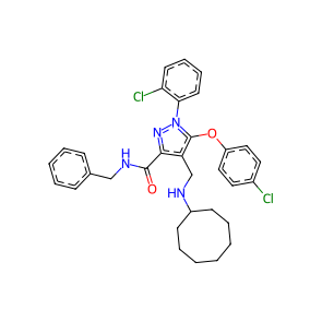 O=C(NCc1ccccc1)c1nn(-c2ccccc2Cl)c(Oc2ccc(Cl)cc2)c1CNC1CCCCCCC1